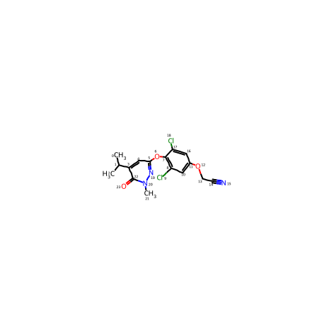 CC(C)c1cc(Oc2c(Cl)cc(OCC#N)cc2Cl)nn(C)c1=O